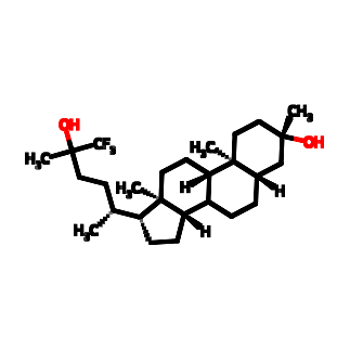 C[C@H](CCC(C)(O)C(F)(F)F)[C@H]1CC[C@H]2C3CC[C@H]4C[C@@](C)(O)CC[C@]4(C)[C@H]3CC[C@]12C